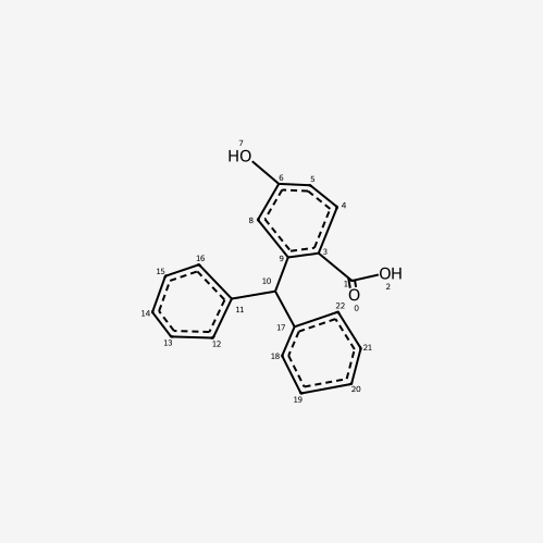 O=C(O)c1ccc(O)cc1C(c1ccccc1)c1ccccc1